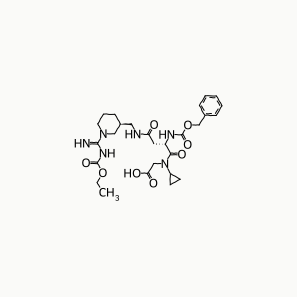 CCOC(=O)NC(=N)N1CCC[C@@H](CNC(=O)C[C@H](NC(=O)OCc2ccccc2)C(=O)N(CC(=O)O)C2CC2)C1